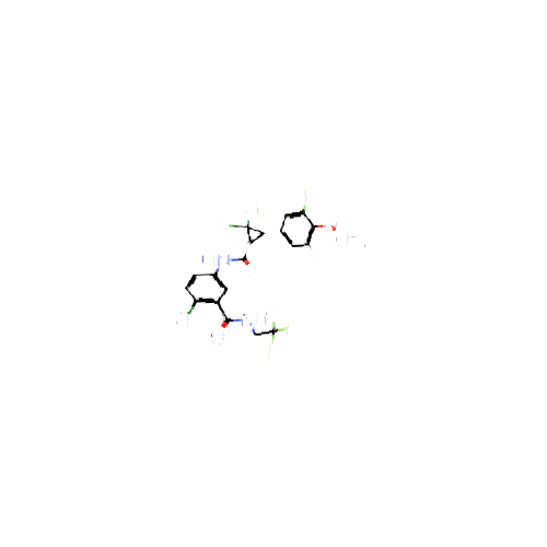 COc1c(F)cc([C@@H]2[C@@H](C(=O)Nc3ccc(Cl)c(C(=O)NCC(F)(F)F)c3)C2(Cl)Cl)cc1F